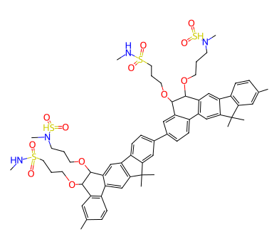 CNS(=O)(=O)CCCOC1c2cc(C)ccc2-c2cc3c(cc2C1OCCCN(C)[SH](=O)=O)-c1ccc(-c2ccc4c(c2)C(OCCCS(=O)(=O)NC)C(OCCCN(C)[SH](=O)=O)c2cc5c(cc2-4)C(C)(C)c2cc(C)ccc2-5)cc1C3(C)C